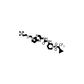 C[Si](C)(C)CCOCn1ccc2nc(NC(=O)NC3CCCN(S(=O)(=O)[C@@H](C4CC4)C(F)(F)F)C3)cnc21